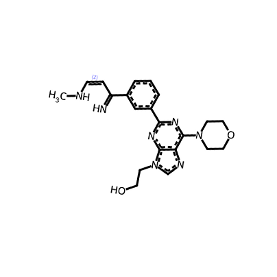 CN/C=C\C(=N)c1cccc(-c2nc(N3CCOCC3)c3ncn(CCO)c3n2)c1